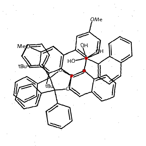 COc1ccc(OP2OC(c3ccccc3)(c3ccccc3)C(c3ccccc3)(c3ccccc3)O2)c(-c2cc(OC)c(C(C)(C)C)c(C(C)(C)C)c2-c2ccc3ccccc3c2P(O)(O)(O)c2cccc3ccccc23)c1